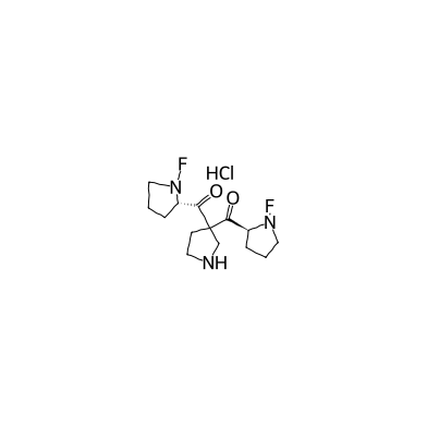 Cl.O=C([C@@H]1CCCN1F)C1(C(=O)[C@@H]2CCCN2F)CCNC1